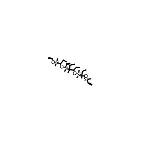 C=CO[Si](C)(C)C(CC)O[Si](C)(C=C)C(C)(CC)C(CC)O[Si](C)(C)C(C)(CC)O[Si](C)(C)C=C